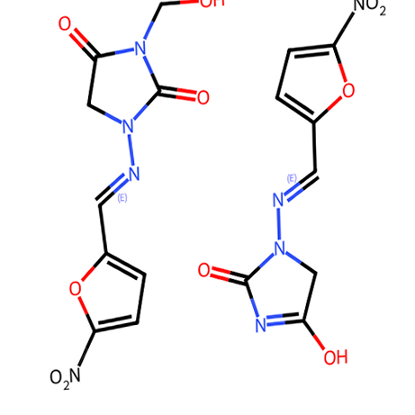 O=C1CN(/N=C/c2ccc([N+](=O)[O-])o2)C(=O)N1CO.O=C1N=C(O)CN1/N=C/c1ccc([N+](=O)[O-])o1